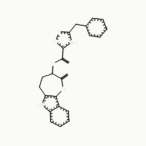 O=C(NC1CCc2[nH]c3ccccc3c2NC1=O)c1nnc(Cc2ccccc2)[nH]1